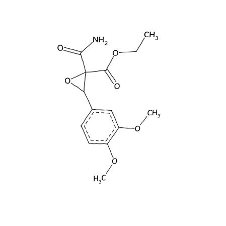 CCOC(=O)C1(C(N)=O)OC1c1ccc(OC)c(OC)c1